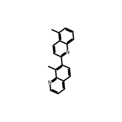 Cc1cccc2nc(-c3ccc4cccnc4c3C)ccc12